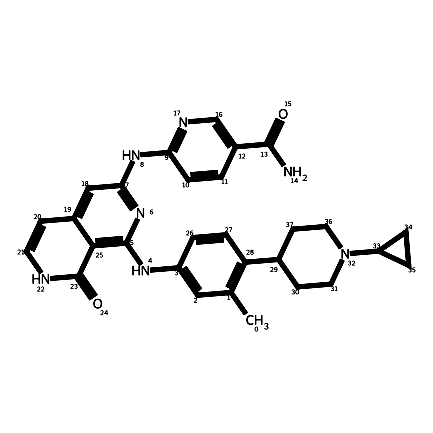 Cc1cc(Nc2nc(Nc3ccc(C(N)=O)cn3)cc3cc[nH]c(=O)c23)ccc1C1CCN(C2CC2)CC1